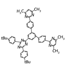 Cc1cc(C)nc(-c2ccc(-c3cc(-c4ccc(-c5nc(C)cc(C)n5)cc4)cc(-c4nc(-c5ccc(C(C)(C)C)cc5)nc(-c5ccc(C(C)(C)C)cc5)n4)c3)cc2)n1